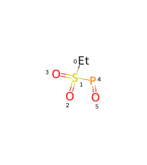 CCS(=O)(=O)P=O